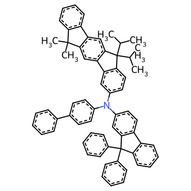 CC(C)C1(C(C)C)c2ccc(N(c3ccc(-c4ccccc4)cc3)c3ccc4c(c3)C(c3ccccc3)(c3ccccc3)c3ccccc3-4)cc2-c2cc3c(cc21)-c1ccccc1C3(C)C